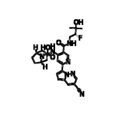 CC(C)(O)[C@H](F)CNC(=O)c1cnc(-c2ccc3cc(C#N)cnn23)cc1N[C@H]1C[C@H]2CC[C@@H](C1)N2C(=O)O